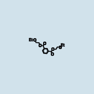 CCOCCOC(=O)c1cccc(C(=O)OCCOCC)c1